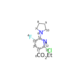 CCOC(=O)c1cc(F)c(N2CCCC2)nc1Cl